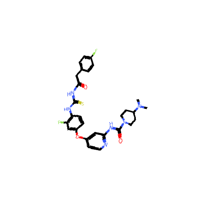 CN(C)C1CCN(C(=O)Nc2cc(Oc3ccc(NC(=S)NC(=O)Cc4ccc(F)cc4)c(F)c3)ccn2)CC1